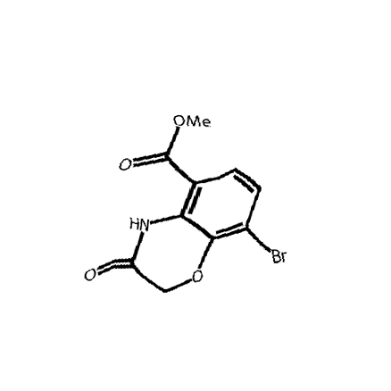 COC(=O)c1ccc(Br)c2c1NC(=O)CO2